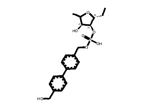 CC[C@H]1OC(C)[C@H](O)[C@@H]1OP(=O)(O)OCc1ccc(-c2ccc(CO)cc2)cc1